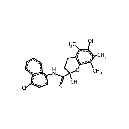 Cc1c(C)c2c(c(C)c1O)CCC(C)(C(=S)Nc1ccc(Cl)c3ccccc13)O2